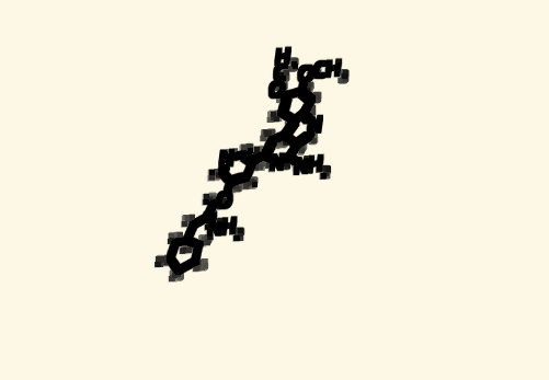 COc1cc2ncc3c(N)nc(-c4cncc(OC[C@@H](N)CC5CCCCC5)c4)cc3c2cc1OC